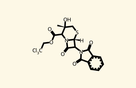 C[C@@]1(O)CS[C@@H]2C(N3C(=O)c4ccccc4C3=O)C(=O)N2C1C(=O)OCC(Cl)(Cl)Cl